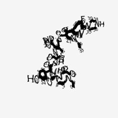 CCN1CCN(C(=O)N[C@@H](C(=O)N[C@@H]2C(=O)N3C(C(=O)[O-])=C(CSC(=O)c4cn(CC)c5nc(N6CCNCC6)c(F)cc5c4=O)CS[C@H]23)c2ccc(O)cc2)C(=O)C1=O.[Na+]